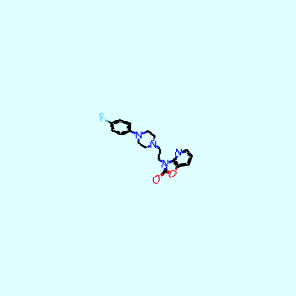 O=c1oc2cccnc2n1CCN1CCN(c2ccc(F)cc2)CC1